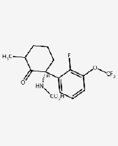 CC1CCC[C@@](NC(=O)O)(c2cccc(OC(F)(F)F)c2F)C1=O